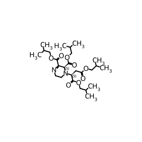 CC(C)COC(=O)C[C@@H](C(=O)OCC(C)C)N1CCN=C(C(=O)OCC(C)C)[C@H]1C(=O)OCC(C)C